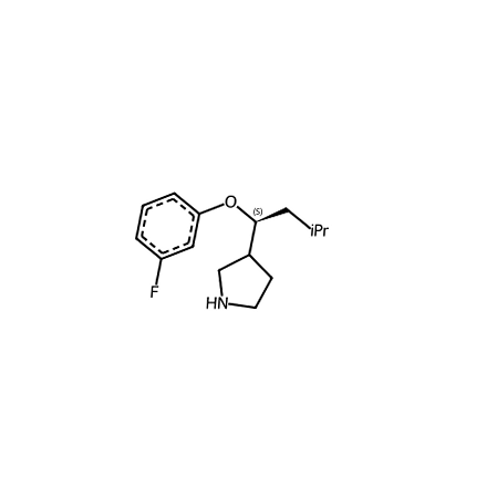 CC(C)C[C@H](Oc1cccc(F)c1)C1CCNC1